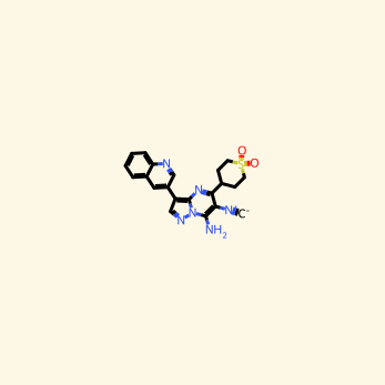 [C-]#[N+]c1c(C2CCS(=O)(=O)CC2)nc2c(-c3cnc4ccccc4c3)cnn2c1N